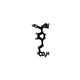 CC(C)(C)C(=O)c1ccc(CCC(=O)O)cc1